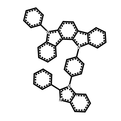 c1ccc(-c2nc3ccccc3n2-c2ccc(-n3c4ccccc4c4ccc5c(c6ccccc6n5-c5ccccc5)c43)cc2)cc1